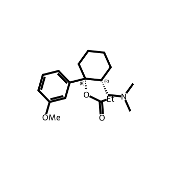 CCC(=O)O[C@]1(c2cccc(OC)c2)CCCC[C@@H]1CN(C)C